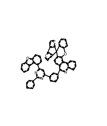 c1ccc(-c2nc(-c3cccc(-c4nc5ccccc5c5c6c(ccc45)C4(c5ccccc5O6)c5ccccc5-c5ccccc54)c3)cc(-c3cccc4oc5ccccc5c34)n2)cc1